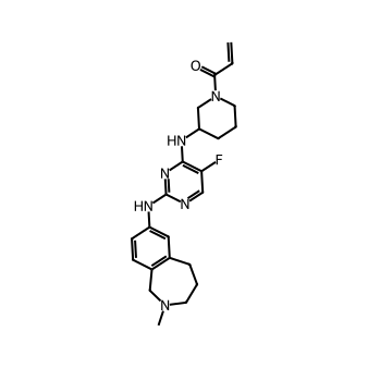 C=CC(=O)N1CCCC(Nc2nc(Nc3ccc4c(c3)CCCN(C)C4)ncc2F)C1